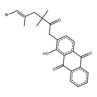 C/C(=C\Br)CC(C)(C)C(=O)Cc1ccc2c(c1O)C(=O)c1ccccc1C2=O